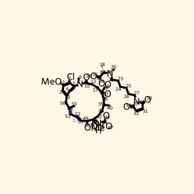 COc1cc2cc(c1Cl)N(C)C(=O)CC(OC(=O)[C@H](C)N(C)C(=O)CCCCCN1C(=O)C=CC1=O)C1(C)OC1C(C)C1CC(O)(NC(=O)O1)C(OC)/C=C/C=C(\C)C2